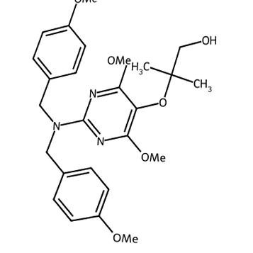 COc1ccc(CN(Cc2ccc(OC)cc2)c2nc(OC)c(OC(C)(C)CO)c(OC)n2)cc1